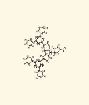 CCCCC(C)(CCC)n1c2ccc(-c3nc(-c4ccccc4)nc(-c4ccccc4)n3)cc2c2cc(-c3nc(-c4ccccc4)nc(-c4ccccc4)n3)ccc21